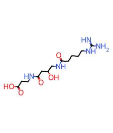 N=C(N)NCCCCC(=O)NC[C@@H](O)CC(=O)NCCC(=O)O